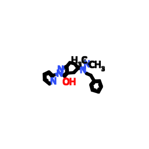 CN(C)N(CCc1ccccc1)C1CCc2nn(-c3ccccn3)c(O)c2C1